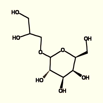 OCC(O)COC1O[C@@H](CO)[C@@H](O)[C@@H](O)[C@@H]1O